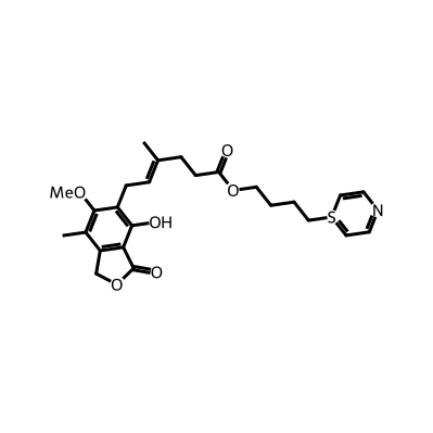 COc1c(C)c2c(c(O)c1C/C=C(\C)CCC(=O)OCCCCS1=CC=NC=C1)C(=O)OC2